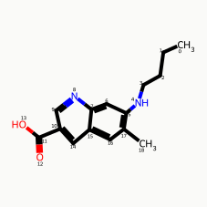 CCCCNc1cc2ncc(C(=O)O)cc2cc1C